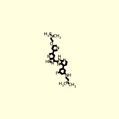 CN(C)CCNc1cc(F)cc(-c2ccnc3[nH]c(-c4n[nH]c5ncc(-c6cncc(OCCN(C)C)c6)cc45)nc23)c1